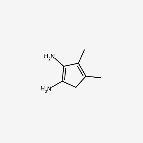 CC1=C(C)C(N)=C(N)C1